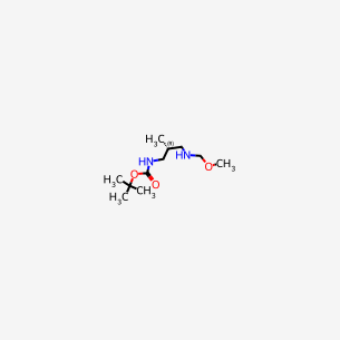 COCNC[C@@H](C)CNC(=O)OC(C)(C)C